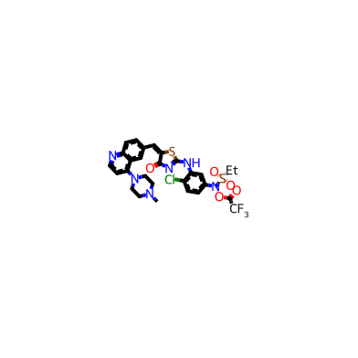 CCS(=O)(=O)N(OC(=O)C(F)(F)F)c1ccc(Cl)c(NC2=NC(=O)C(=Cc3ccc4nccc(N5CCN(C)CC5)c4c3)S2)c1